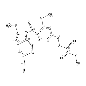 CCc1cc(OC[C@@H](O)[C@H](O)CO)ccc1C(=O)c1c(CC)oc2cc(C#N)ccc12